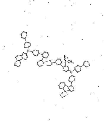 CC1(C)c2ccc(C3C4CCC3C3(C4)c4ccccc4-c4c(-c5ccc(N(c6ccc(-c7ccccc7)cc6)c6ccc7c(ccc8ccccc87)c6)cc5)cccc43)cc2-c2ccc(N(c3ccc(-c4ccccc4)cc3)c3ccc(-c4cccc5c4-c4ccccc4C54CC5CCC4C5)cc3)cc21